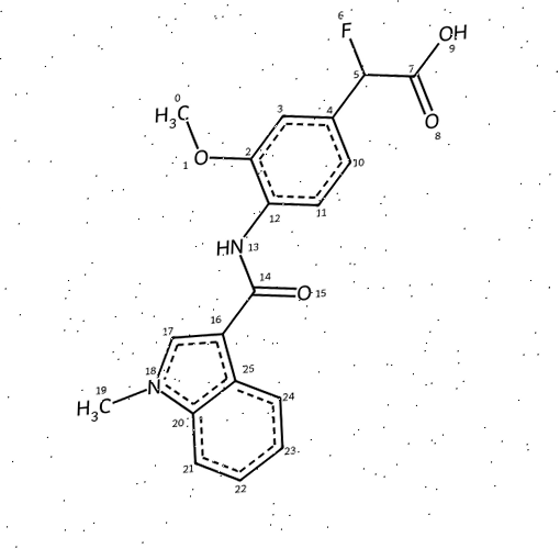 COc1cc(C(F)C(=O)O)ccc1NC(=O)c1cn(C)c2ccccc12